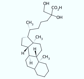 C[C@H](CCCC(O)(CO)C(=O)O)[C@H]1CC[C@H]2[C@@H]3CCC4CCCC[C@]4(C)[C@H]3CC[C@]12C